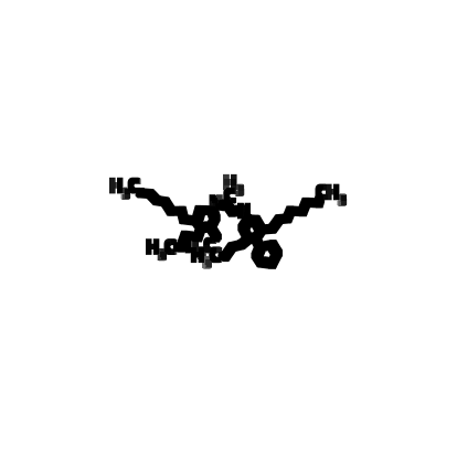 CCCCCCCCc1cc(N=C(C)C=Nc2cc(CCCC)c(-c3ccccc3)c(CCCCCCCC)c2)cc(CC)c1CCCC